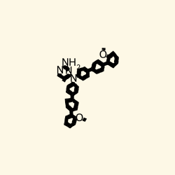 COc1ccccc1-c1ccc(-c2ccc(N(c3ccc(-c4ccc(-c5ccccc5OC)cc4)cc3)c3nc(N)ncc3C)cc2)cc1